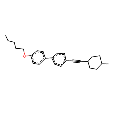 CCCCCOc1ccc(-c2ccc(C#CC3CCC(C)CC3)cc2)cc1